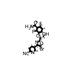 N#Cc1ccc(-c2nc([C@@H](CO)Oc3ccc(F)c(C(N)=O)c3F)oc2Br)cn1